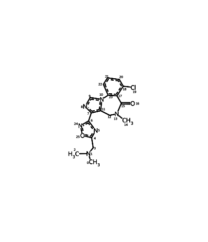 CN(C)Cc1nc(-c2ncn3c2CN(C)C(=O)c2c(Cl)cccc2-3)no1